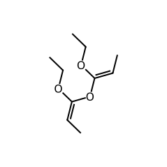 CC=C(OCC)OC(=CC)OCC